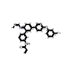 C=CC(=O)Nc1cccc(C2=CC(c3ccc(Oc4cccc(F)c4)nc3)=CC/C2=N\C=N/C)c1